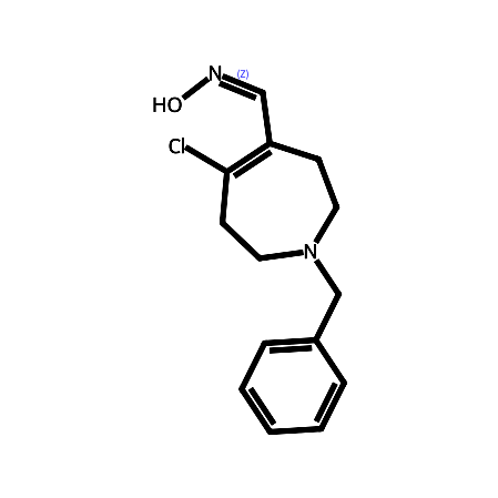 O/N=C\C1=C(Cl)CCN(Cc2ccccc2)CC1